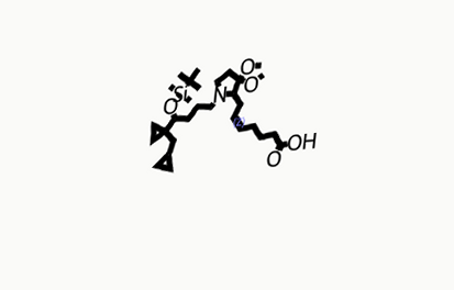 COC1(OC)CCN(CCCC(O[Si](C)(C)C(C)(C)C)C2(CC3CC3)CC2)C1C/C=C\CCCC(=O)O